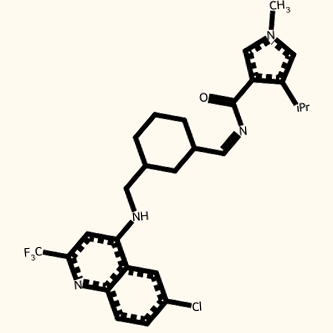 CC(C)c1cn(C)cc1C(=O)/N=C\C1CCCC(CNc2cc(C(F)(F)F)nc3ccc(Cl)cc23)C1